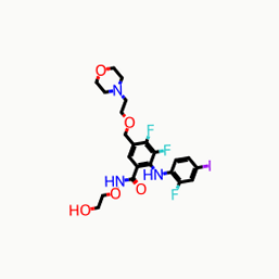 O=C(NOCCO)c1cc(COCCN2CCOCC2)c(F)c(F)c1Nc1ccc(I)cc1F